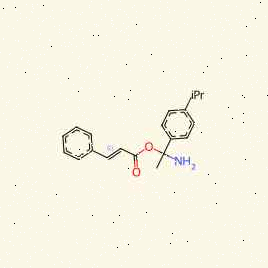 CC(C)c1ccc(C(C)(N)OC(=O)/C=C/c2ccccc2)cc1